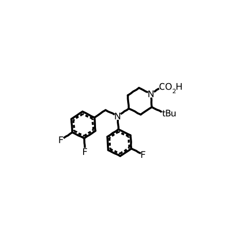 CC(C)(C)C1CC(N(Cc2ccc(F)c(F)c2)c2cccc(F)c2)CCN1C(=O)O